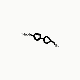 CCCCCCCc1ccc(C2=CCC(CC(C)CC)CC2)cc1